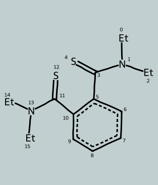 CCN(CC)C(=S)c1ccccc1C(=S)N(CC)CC